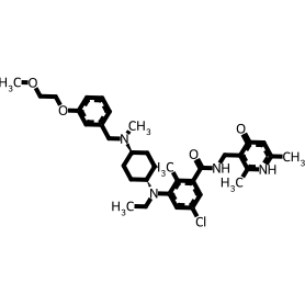 CCN(c1cc(Cl)cc(C(=O)NCc2c(C)[nH]c(C)cc2=O)c1C)[C@H]1CC[C@H](N(C)Cc2cccc(OCCOC)c2)CC1